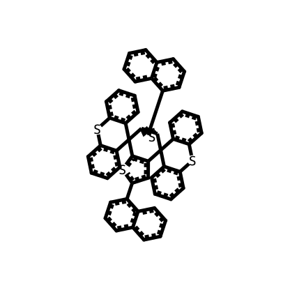 c1ccc2c(c1)Sc1ccccc1C21c2cc(-c3cccc4ccccc34)sc2C2(c3ccccc3Sc3ccccc32)c2cc(-c3cccc4ccccc34)sc21